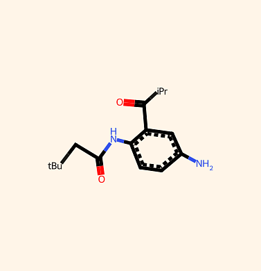 CC(C)C(=O)c1cc(N)ccc1NC(=O)CC(C)(C)C